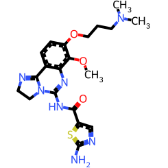 COc1c(OCCCN(C)C)ccc2c1N=C(NC(=O)c1cnc(N)s1)N1CCN=C21